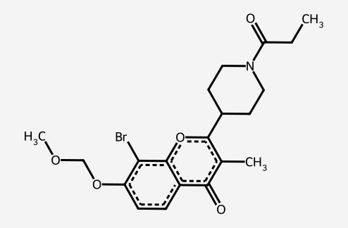 CCC(=O)N1CCC(c2oc3c(Br)c(OCOC)ccc3c(=O)c2C)CC1